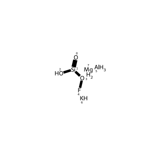 O=[Si](O)OF.[AlH3].[KH].[MgH2]